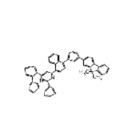 CC1(C)c2ccccc2-c2ccc(-c3cccc(-c4ccc(-c5cc(-c6ccccc6-c6ccccc6)nc(-c6ccccc6)n5)c5ccccc45)c3)cc21